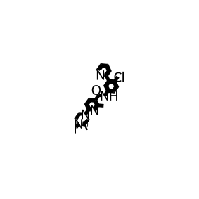 Cc1nc(N2CCN(I)[C@H](C)C2)ccc1C(=O)Nc1ccc(Cl)c(-c2ccccn2)c1